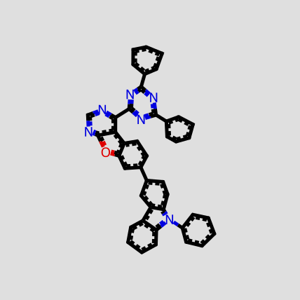 c1ccc(-c2nc(-c3ccccc3)nc(-c3ncnc4oc5cc(-c6ccc7c(c6)c6ccccc6n7-c6ccccc6)ccc5c34)n2)cc1